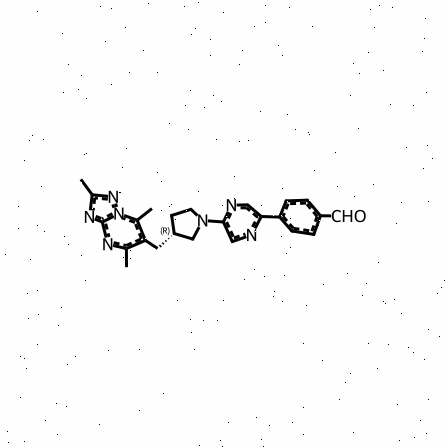 Cc1nc2nc(C)c(C[C@@H]3CCN(c4cnc(-c5ccc(C=O)cc5)cn4)C3)c(C)n2n1